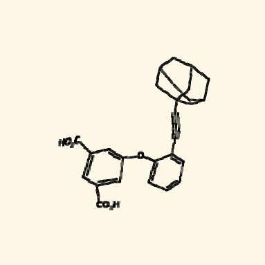 O=C(O)c1cc(Oc2ccccc2C#CC23CC4CC(CC(C4)C2)C3)cc(C(=O)O)c1